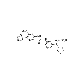 COc1cc(NC(=O)Nc2cccc(C(NC(=O)O)C3CCOC3)c2)ccc1-c1cnco1